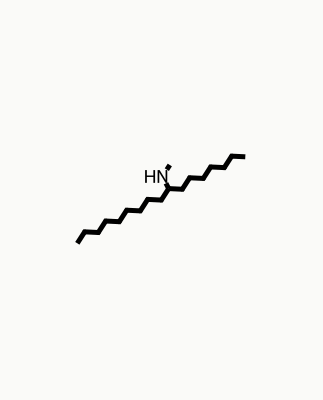 CCCCCCCCCC(CCCCCCC)NC